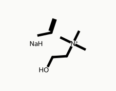 C=CC.C[N+](C)(C)CCO.[NaH]